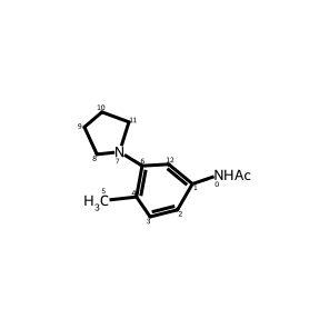 CC(=O)Nc1ccc(C)c(N2CCCC2)c1